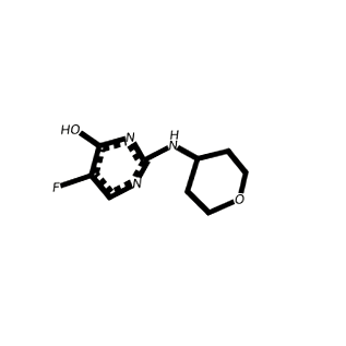 Oc1nc(NC2CCOCC2)ncc1F